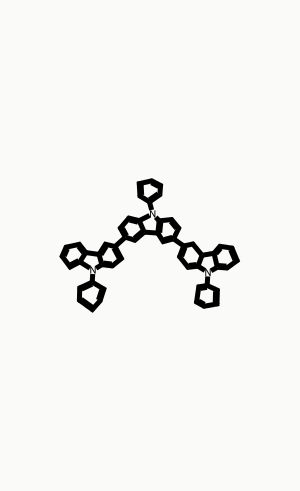 C1=C(c2ccc3c(c2)c2cc(-c4ccc5c(c4)c4ccccc4n5-c4ccccc4)ccc2n3-c2ccccc2)CC2C(=C1)N(c1ccccc1)c1ccccc12